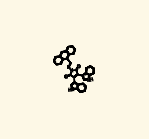 O=C1C(c2c[nH]c3ccccc23)=C(c2c[nH]c3ccccc23)C(=O)N1/N=C/c1c2ccccc2cc2ccccc12